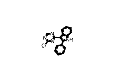 Clc1ncnc(-c2c(-c3ccccc3)[nH]c3ccccc23)n1